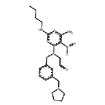 CCCCNc1nc(N)c([N+](=O)[O-])c(N(CC=O)Cc2cccc(CN3CCCC3)c2)n1